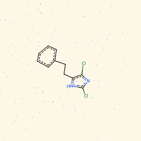 Clc1nc(Cl)c(CCc2ccccc2)[nH]1